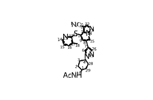 CC(=O)NC1CCC(n2cc(-c3cc(Sc4ncccc4C)c4c(C#N)cnn4c3)cn2)CC1